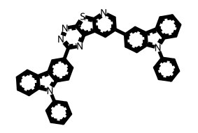 c1ccc(-n2c3ccccc3c3cc(-c4cnc5sc6nnc(-c7ccc8c(c7)c7ccccc7n8-c7ccccc7)nc6c5c4)ccc32)cc1